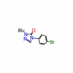 CCC(C)n1ncn(-c2ccc(Br)cc2)c1=O